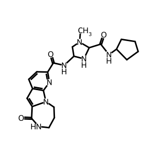 CN1CC(NC(=O)c2ccc3cc4n(c3n2)CCCNC4=O)NC1C(=O)NC1CCCC1